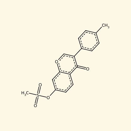 Cc1ccc(-c2coc3cc(OS(C)(=O)=O)ccc3c2=O)cc1